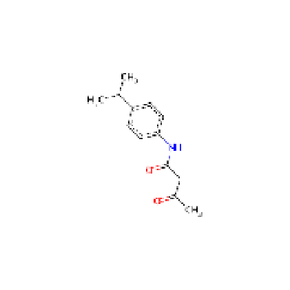 CC(=O)CC(=O)Nc1ccc(C(C)C)cc1